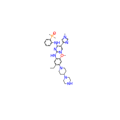 CCc1cc(Nc2ncc(-c3cn(C)cn3)c(Nc3ccccc3P(C)(C)=O)n2)c(OC)cc1N1CCC(N2CCNCC2)CC1